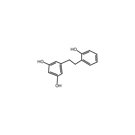 Oc1cc(O)cc(CCc2ccccc2O)c1